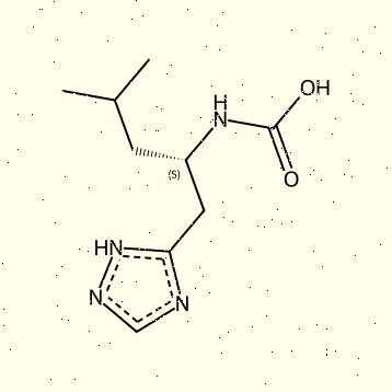 CC(C)C[C@@H](Cc1ncn[nH]1)NC(=O)O